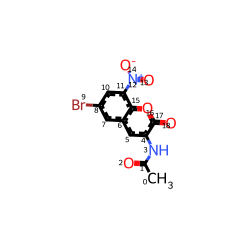 CC(=O)Nc1cc2cc(Br)cc([N+](=O)[O-])c2oc1=O